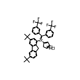 CC(C)(C)c1ccc2c(c1)-c1cc(C(C)(C)C)c[c]([Zr]([C]3=CC=CC3)=[C](c3cccc(C(F)(F)F)c3)c3cccc(C(F)(F)F)c3)c1C2.Cl.Cl